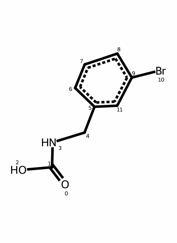 O=C(O)NCc1cccc(Br)c1